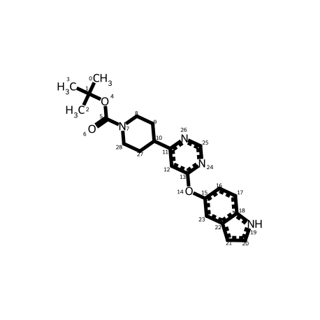 CC(C)(C)OC(=O)N1CCC(c2cc(Oc3ccc4[nH]ccc4c3)ncn2)CC1